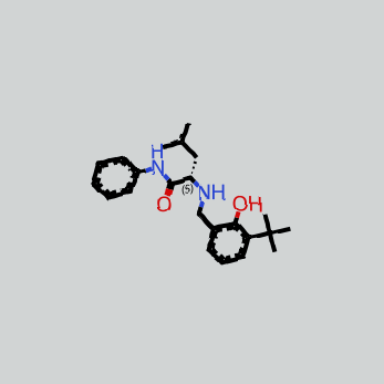 CC(C)C[C@H](NCc1cccc(C(C)(C)C)c1O)C(=O)Nc1ccccc1